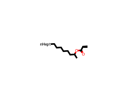 C=CC(=O)OC(C)CCCCCCCCCCCCC